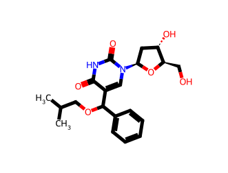 CC(C)COC(c1ccccc1)c1cn([C@H]2C[C@H](O)[C@@H](CO)O2)c(=O)[nH]c1=O